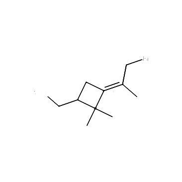 CC(=O)OCC1C/C(=C(/C)CBr)C1(C)C